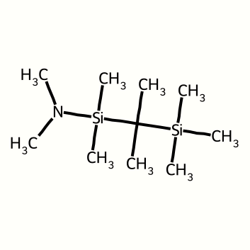 CN(C)[Si](C)(C)C(C)(C)[Si](C)(C)C